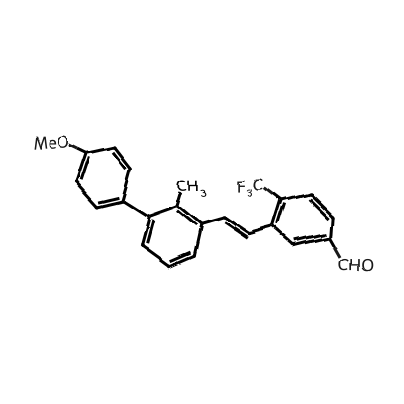 COc1ccc(-c2cccc(/C=C/c3cc(C=O)ccc3C(F)(F)F)c2C)cc1